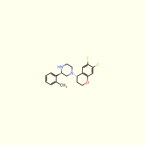 Cc1ccccc1[C@@H]1CN([C@H]2CCOc3cc(F)c(F)cc32)CCN1